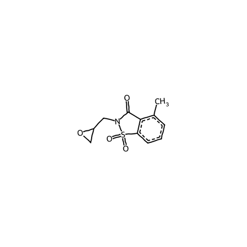 Cc1cccc2c1C(=O)N(CC1CO1)S2(=O)=O